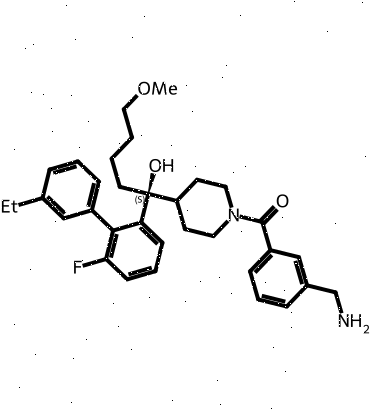 CCc1cccc(-c2c(F)cccc2[C@](O)(CCCCOC)C2CCN(C(=O)c3cccc(CN)c3)CC2)c1